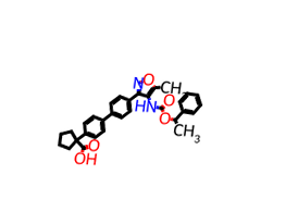 Cc1onc(-c2ccc(-c3ccc(C4(C(=O)O)CCCC4)cc3)cc2)c1NC(=O)OC(C)c1ccccc1